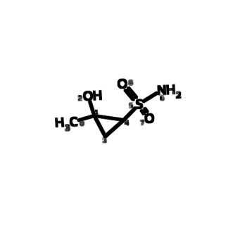 CC1(O)CC1S(N)(=O)=O